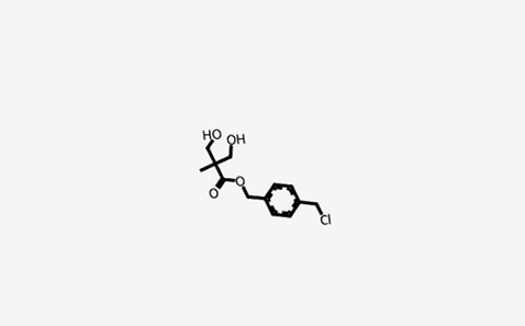 CC(CO)(CO)C(=O)OCc1ccc(CCl)cc1